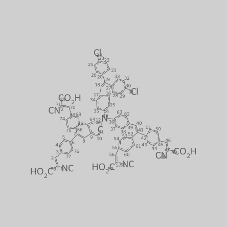 [C-]#[N+]/C(=C\c1ccc(C(=Cc2ccc(N(c3ccc(C=C(c4ccc(Cl)cc4)c4ccc(Cl)cc4)cc3)c3ccc(C=C(c4ccc(/C=C(\[N+]#[C-])C(=O)O)cc4)c4ccc(/C=C(\[N+]#[C-])C(=O)O)cc4)cc3)cc2)c2ccc(/C=C(\[N+]#[C-])C(=O)O)cc2)cc1)C(=O)O